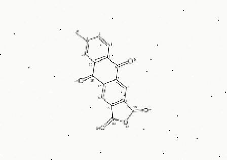 Cc1ccc2c(=O)c3cc4c(=O)oc(=O)c4cc3c(=O)c2c1